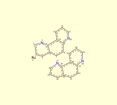 [Ru].c1cnc2c(c1)ccc1ncccc12.c1cnc2c(c1)ccc1ncccc12